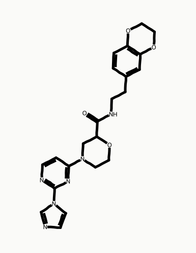 O=C(NCCc1ccc2c(c1)OCCO2)C1CN(c2ccnc(-n3ccnc3)n2)CCO1